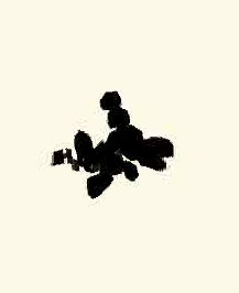 CC1(C)c2ccccc2-c2cc3c4cc(N(c5ccc(-c6ccccc6)cc5)c5ccc6c(c5)C5(c7ccccc7-c7ccccc75)c5ccccc5-6)ccc4n(-c4nc(-c5ccccc5)cc(-c5ccccc5)n4)c3cc21